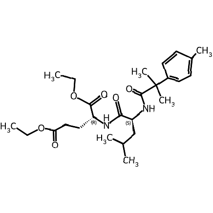 CCOC(=O)CC[C@@H](NC(=O)[C@H](CC(C)C)NC(=O)C(C)(C)c1ccc(C)cc1)C(=O)OCC